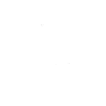 COC(=O)[C@H](c1ccccc1F)N1CCC(SCC(=O)c2cccc(OC)c2)/C(=C/C(=O)O)C1